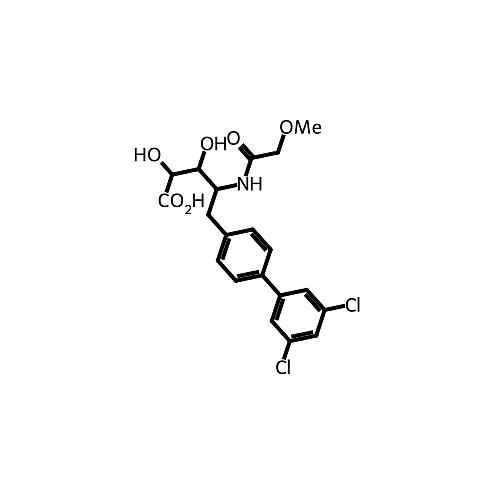 COCC(=O)NC(Cc1ccc(-c2cc(Cl)cc(Cl)c2)cc1)C(O)C(O)C(=O)O